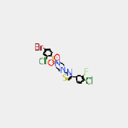 O=S(=O)(c1ccc(Br)cc1Cl)N1CCN(c2nc(-c3ccc(Cl)c(F)c3)cs2)CC1